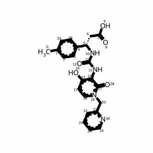 Cc1ccc([C@H](CC(=O)O)NC(=O)Nc2c(O)ccn(Cc3ccccn3)c2=O)cc1